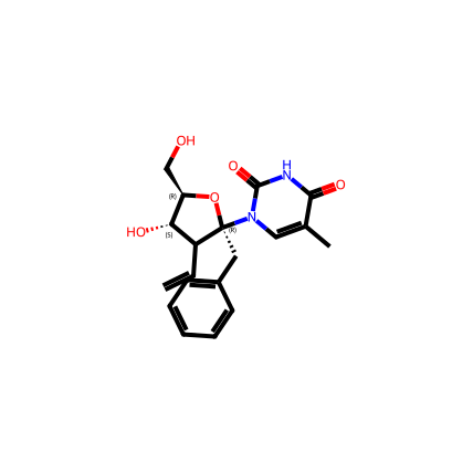 C=CC1[C@H](O)[C@@H](CO)O[C@@]1(Cc1ccccc1)n1cc(C)c(=O)[nH]c1=O